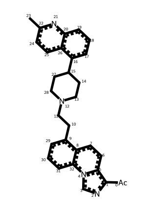 CC(=O)c1ncn2c1ccc1c(CCN3CCC(c4cccc5nc(C)ccc45)CC3)cccc12